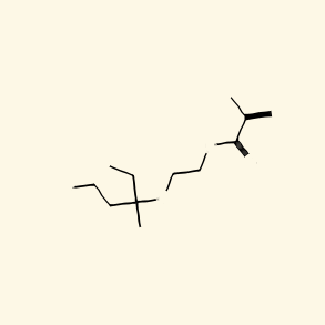 C=C(C)C(=O)OCCOC(C)(CC)CCO